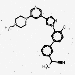 Cc1ccc(-c2cccc(C(C)C#N)c2)cc1-n1cc(-c2cncc(N3CCN(C)CC3)c2)cn1